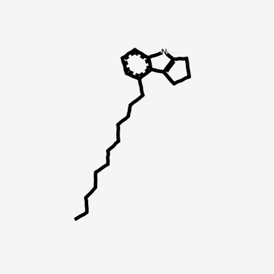 CCCCCCCCCCCCc1cccc2c1C1=C(CCC1)[N]2